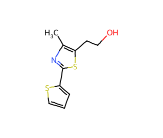 Cc1nc(-c2cccs2)sc1CCO